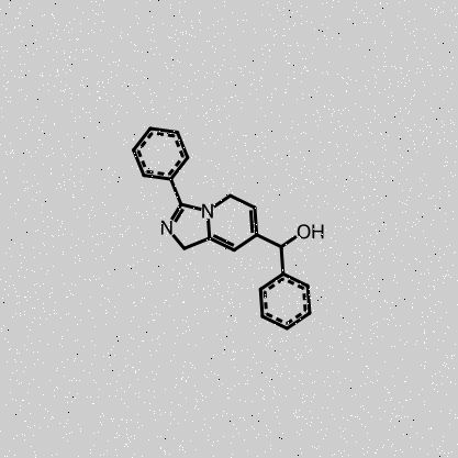 OC(C1=CCN2C(=C1)CN=C2c1ccccc1)c1ccccc1